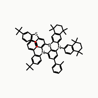 Cc1ccccc1-c1cc2c3c(c1)N(c1ccc(C(C)(C)C)cc1-c1ccccc1)c1cc4c(cc1B3c1cc3c(cc1N2c1ccc2c(c1)C(C)(C)CCC2(C)C)C(C)(C)CCC3(C)C)sc1cc(C(C)(C)C)ccc14